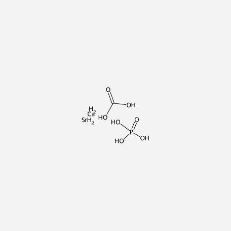 O=C(O)O.O=P(O)(O)O.[CaH2].[SrH2]